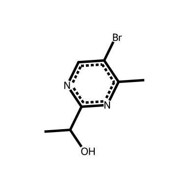 Cc1nc(C(C)O)ncc1Br